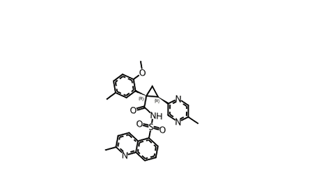 COc1ccc(C)cc1[C@@]1(C(=O)NS(=O)(=O)c2cccc3nc(C)ccc23)C[C@H]1c1cnc(C)cn1